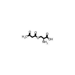 CC(=O)CC(=O)OC[C@H](N)C(=O)O